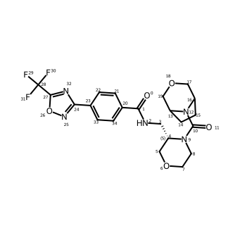 O=C(NC[C@H]1COCCN1C(=O)N1C2CCC1COC2)c1ccc(-c2noc(C(F)(F)F)n2)cc1